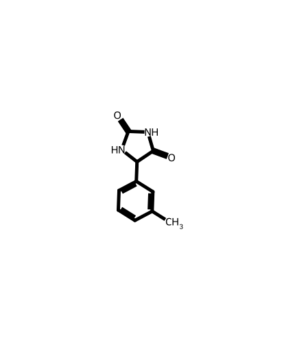 Cc1cccc(C2NC(=O)NC2=O)c1